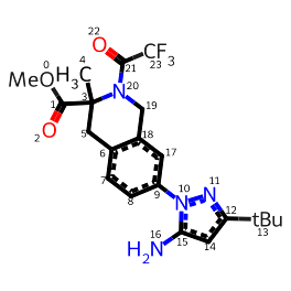 COC(=O)C1(C)Cc2ccc(-n3nc(C(C)(C)C)cc3N)cc2CN1C(=O)C(F)(F)F